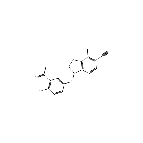 CC(=N)c1cc(NC2CCc3c2ccc(C#N)c3C)ccc1N